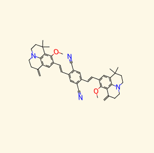 C=C1CCN2CCC(C)(C)c3c(OC)c(C=Cc4cc(C#N)c(C=Cc5cc6c7c(c5OC)C(=C)CCN7CCC6(C)C)cc4C#N)cc1c32